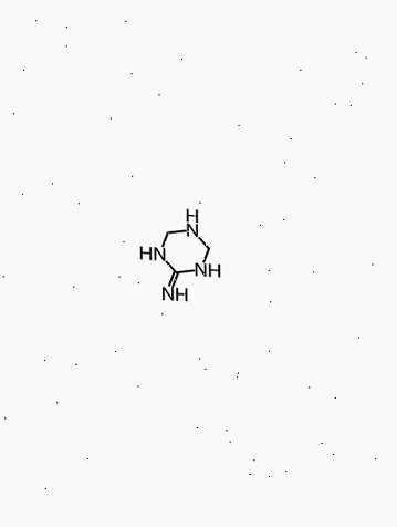 N=C1NCNCN1